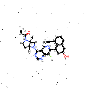 C#Cc1cccc2cc(O)cc(-c3ncc4c(N5C[C@@H]6[C@H]5CCN6C(=O)C=C)ncnc4c3F)c12